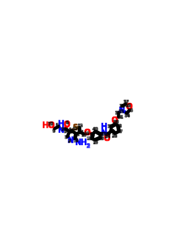 Nc1ncc(C(=O)NCCO)c2scc(COc3cccc(NC(=O)c4cccc(OCCN5CCOCC5)c4)c3)c12